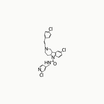 O=C(NCc1ccnc(Cl)c1)N1c2ccc(Cl)cc2C2CN(C/C=C/c3ccc(Cl)cc3)CCC21